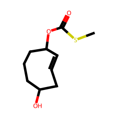 CSC(=O)OC1/C=C/CC(O)CCC1